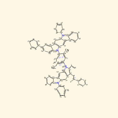 C=Cc1c(/C=C(\C)c2ccccc2)c2cc3c(cc2n1C(=C\C#N)/C=C(C#N)\C(=C/C)n1c2ccc(-c4ccccc4)cc2c2cc4c(cc21)c1ccccc1n4-c1ccccc1)c1ccccc1n3-c1ccccc1